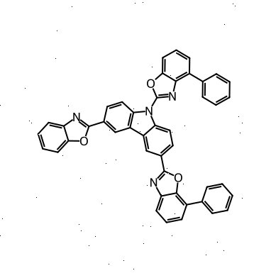 c1ccc(-c2cccc3oc(-n4c5ccc(-c6nc7ccccc7o6)cc5c5cc(-c6nc7cccc(-c8ccccc8)c7o6)ccc54)nc23)cc1